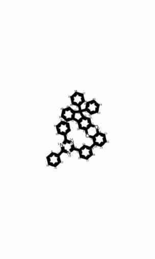 c1ccc(-c2nc(-c3ccccc3)nc(-c3cccc(-c4cccc5c4Oc4cc6c(cc4O5)C(c4ccccc4)(c4ccccc4)c4ccccc4-6)c3)n2)cc1